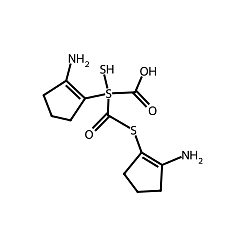 NC1=C(SC(=O)S(S)(C(=O)O)C2=C(N)CCC2)CCC1